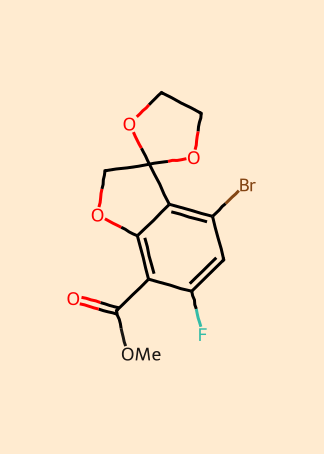 COC(=O)c1c(F)cc(Br)c2c1OCC21OCCO1